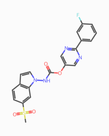 CS(=O)(=O)c1ccc2ccn(NC(=O)Oc3cnc(-c4cccc(F)c4)nc3)c2c1